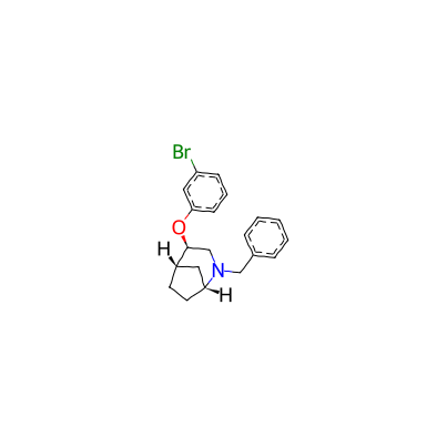 Brc1cccc(O[C@H]2CN(Cc3ccccc3)[C@@H]3CC[C@H]2C3)c1